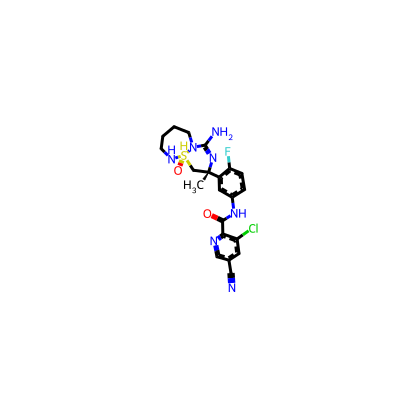 C[C@@]1(c2cc(NC(=O)c3ncc(C#N)cc3Cl)ccc2F)C[SH]2(=O)NCCCCN2C(N)=N1